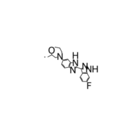 [CH2]C1CN(c2ccc3nc(-c4n[nH]c5cc(F)ccc45)[nH]c3c2)CCCO1